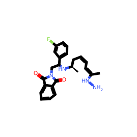 C/C(=C\C=C/C[C@@H](C)NC(CN1C(=O)c2ccccc2C1=O)c1cccc(F)c1)NN